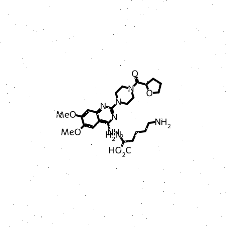 COc1cc2nc(N3CCN(C(=O)C4CCCO4)CC3)nc(N)c2cc1OC.NCCCCC(N)C(=O)O